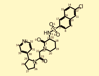 O=C1[C@@H](NS(=O)(=O)c2ccc3cc(Cl)ccc3c2)CCCN1CC(=O)N1CCCC1c1ccncc1